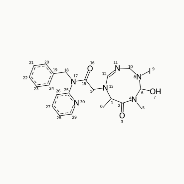 CC1C(=O)N(C)C(O)N(I)C/N=C\N1CC(=O)N(Cc1ccccc1)c1ccccn1